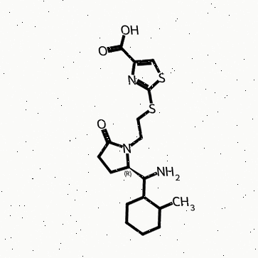 CC1CCCCC1C(N)[C@H]1CCC(=O)N1CCSc1nc(C(=O)O)cs1